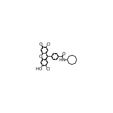 O=C(NC1CCCCCCC1)c1ccc(-c2c3cc(Cl)c(=O)cc-3oc3cc(O)c(Cl)cc23)cc1